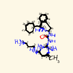 CC1CC(NCCCN)NC(NC(=O)NC2Cc3ccccc3C(C3CCCCCC3)N2)N1